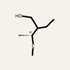 CCC(CO)[C@@H](C)CC